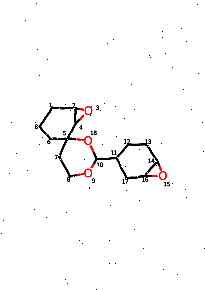 C1CC2OC2C2(C1)CCOC(C1CCC3OC3C1)O2